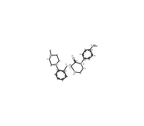 CN1CCN(c2ccccc2C[C@H]2OCCN(c3ccc(C(C)(C)C)cc3)C2=O)CC1